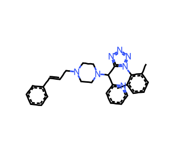 Cc1cccc(C)c1-n1nnnc1C(c1ccccn1)N1CCN(CC=Cc2ccccc2)CC1